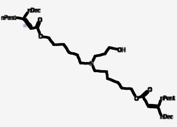 CCCCCCCCCCC(=CC(=O)OCCCCCCN(CCCO)CCCCCCOC(=O)/C=C(/CCCCC)CCCCCCCCCC)CCCCC